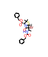 CC(NC(=O)OCc1ccccc1)[C@]1(Br)C(=O)N2[C@@H](C(=O)OCc3ccccc3)C(C)(C)S[C@@H]21